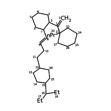 C=C(C1CCCCC1/C=C/CCC1CCC(C(CC)CC)CC1)C1(CCC)CCCCC1